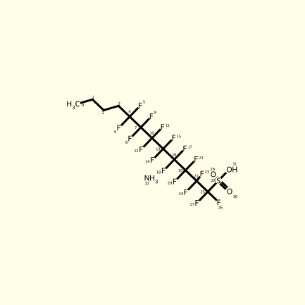 CCCCC(F)(F)C(F)(F)C(F)(F)C(F)(F)C(F)(F)C(F)(F)C(F)(F)C(F)(F)S(=O)(=O)O.N